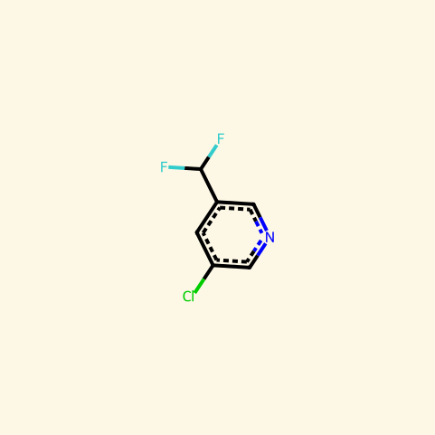 FC(F)c1cncc(Cl)c1